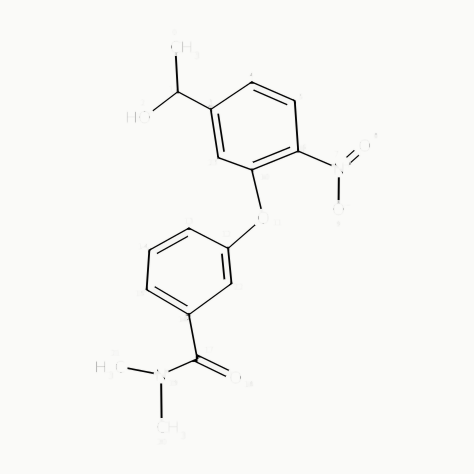 CC(O)c1ccc([N+](=O)[O-])c(Oc2cccc(C(=O)N(C)C)c2)c1